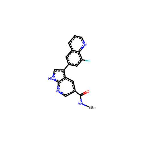 CCCCNC(=O)c1cnc2[nH]cc(-c3cc(F)c4ncccc4c3)c2c1